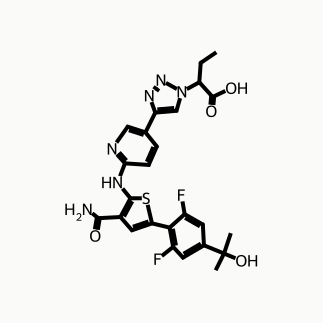 CCC(C(=O)O)n1cc(-c2ccc(Nc3sc(-c4c(F)cc(C(C)(C)O)cc4F)cc3C(N)=O)nc2)nn1